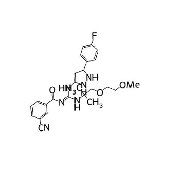 COCCOCC(C)(C)N/C(=N/C(=O)c1cccc(C#N)c1)NC1CC(c2ccc(F)cc2)NN1